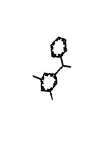 Cc1cc(C)cc(C(C)c2ccccc2)c1